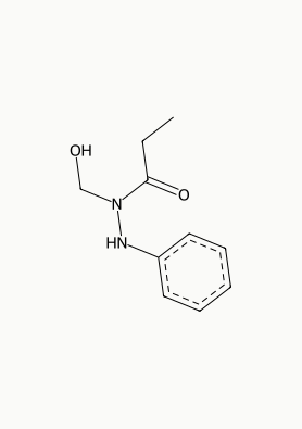 CCC(=O)N(CO)Nc1ccccc1